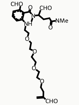 C=C(C=O)CCOCCOCCOCCOCCNc1cccc(C=O)c1C(=O)N(C)C(C=O)CCC(=O)NC